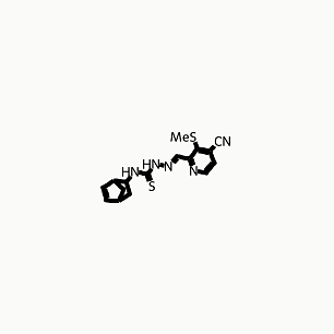 CSc1c(C#N)ccnc1/C=N/NC(=S)NC1CC2C=CC1C2